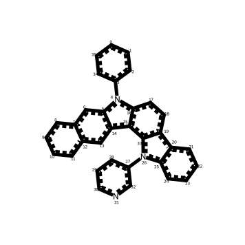 c1ccc(-n2c3cc4ccccc4cc3c3c2ccc2c4ccccc4n(-c4cccnc4)c23)cc1